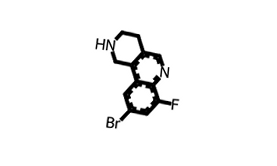 Fc1cc(Br)cc2c3c(cnc12)CCNC3